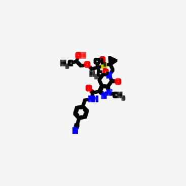 CC(O)COCC(C)(C)S(=O)(=O)C1(CN2CCc3c(C(=O)NCc4ccc(C#N)cc4)nn(C)c3C2=O)CC1